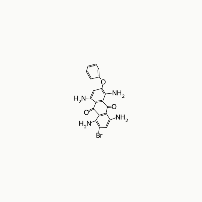 Nc1cc(Br)c(N)c2c1C(=O)c1c(N)c(Oc3ccccc3)cc(N)c1C2=O